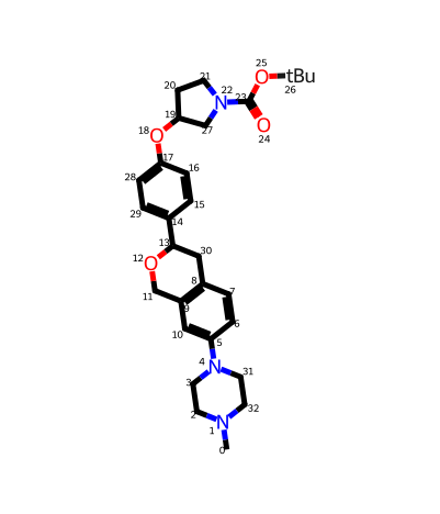 CN1CCN(c2ccc3c(c2)COC(c2ccc(OC4CCN(C(=O)OC(C)(C)C)C4)cc2)C3)CC1